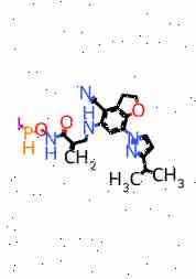 C=C(CNc1cc(-n2ccc(C(C)C)n2)c2c(c1C#N)CCO2)C(=O)NOPI